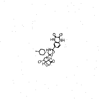 C[C@H]1CC[C@H](C(NC(=O)c2ccc3[nH]c(=O)c(=O)[nH]c3c2)C(=O)N2C[C@H](Cl)[C@H]3OCC(=O)[C@H]32)CC1